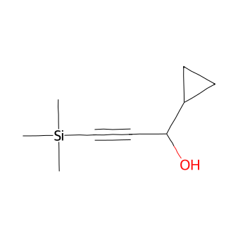 C[Si](C)(C)C#CC(O)C1CC1